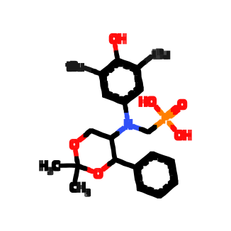 CC1(C)OCC(N(CP(=O)(O)O)c2cc(C(C)(C)C)c(O)c(C(C)(C)C)c2)C(c2ccccc2)O1